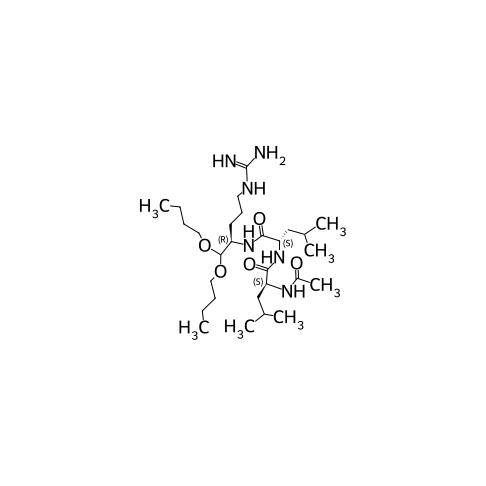 CCCCOC(OCCCC)[C@@H](CCCNC(=N)N)NC(=O)[C@H](CC(C)C)NC(=O)[C@H](CC(C)C)NC(C)=O